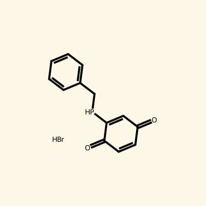 Br.O=C1C=CC(=O)C(PCc2ccccc2)=C1